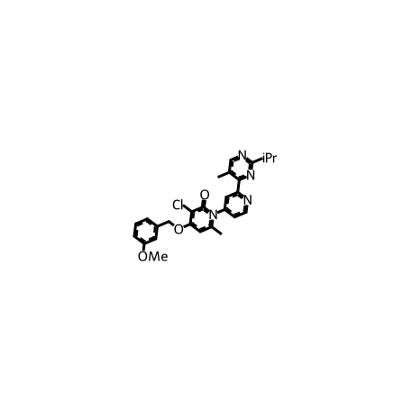 COc1cccc(COc2cc(C)n(-c3ccnc(-c4nc(C(C)C)ncc4C)c3)c(=O)c2Cl)c1